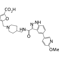 COc1ccc(-c2ccc3[nH]nc(C(=O)NCC4CCN(Cc5ccc(C(=O)O)o5)CC4)c3c2)cn1